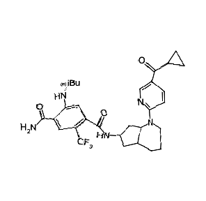 CC[C@@H](C)Nc1cc(C(=O)NC2CC3CCCN(c4ccc(C(=O)C5CC5)cn4)C3C2)c(C(F)(F)F)cc1C(N)=O